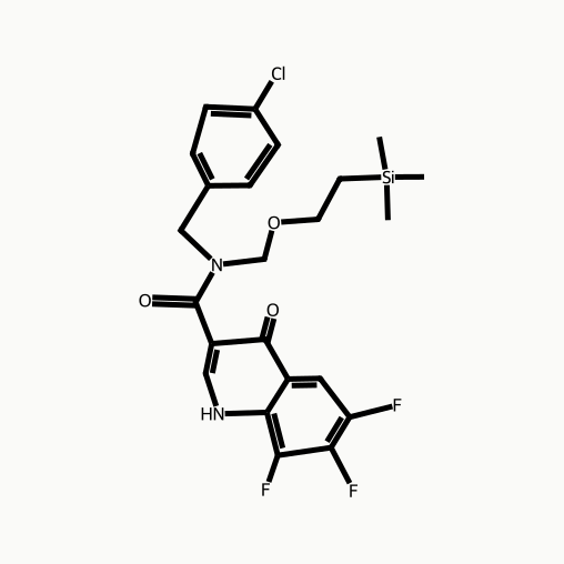 C[Si](C)(C)CCOCN(Cc1ccc(Cl)cc1)C(=O)c1c[nH]c2c(F)c(F)c(F)cc2c1=O